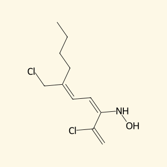 C=C(Cl)/C(=C\C=C(\CCl)CCCC)NO